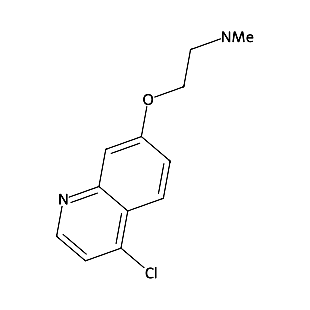 CNCCOc1ccc2c(Cl)ccnc2c1